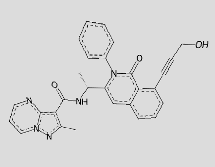 Cc1nn2cccnc2c1C(=O)N[C@H](C)c1cc2cccc(C#CCO)c2c(=O)n1-c1ccccc1